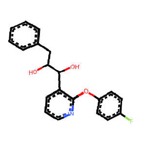 OC(Cc1ccccc1)C(O)c1cccnc1Oc1ccc(F)cc1